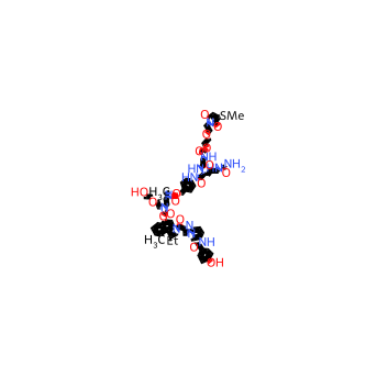 CC[C@@H]1CN(C(=O)c2cn3cc(NC(=O)c4ccc(O)cc4)ccc3n2)c2cc(OC(=O)N(CCOCCO)CCN(C)C(=O)OCc3ccc(NC(=O)[C@H](CCCNC(N)=O)NC(=O)CNC(=O)OCCOCCN4C(=O)CC(SC)C4=O)cc3)c3cccc(C)c3c21